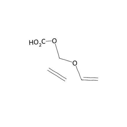 C=C.C=COCOC(=O)O